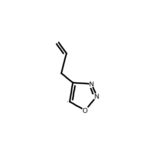 C=CCc1[c]onn1